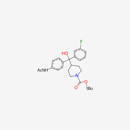 CC(=O)Nc1ccc(C(O)(c2cccc(F)c2)C2CCN(C(=O)OC(C)(C)C)CC2)cc1